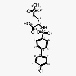 CS(=O)(=O)CC[C@H](NS(=O)(=O)c1ccc(-c2ccc(Cl)cc2)cc1)C(=O)O